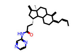 C=C1/C(=C\C=C/C)CCC2C1CC[C@]1(C)C(=C)C[C@@H](CCC(=O)Nc3cnccn3)C21